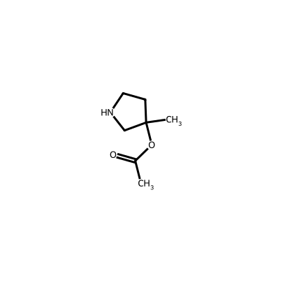 CC(=O)OC1(C)CCNC1